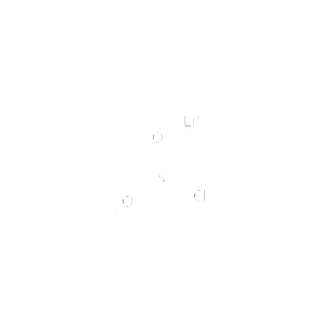 O=S([O-])Cl.[Li+]